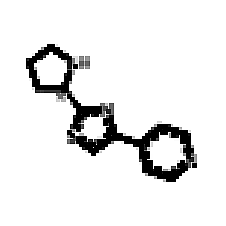 c1cc(-c2csc([C@H]3CCCN3)n2)ccn1